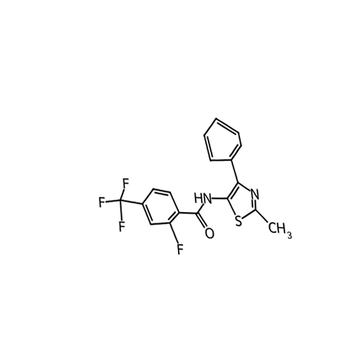 Cc1nc(-c2ccccc2)c(NC(=O)c2ccc(C(F)(F)F)cc2F)s1